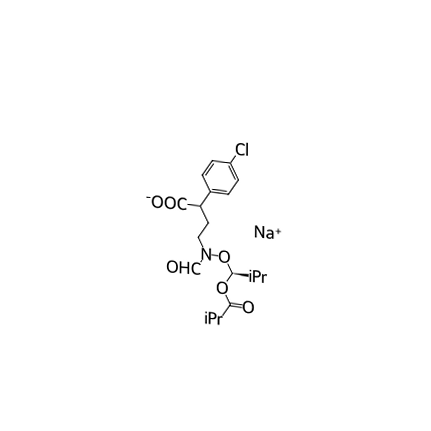 CC(C)C(=O)O[C@@H](ON(C=O)CCC(C(=O)[O-])c1ccc(Cl)cc1)C(C)C.[Na+]